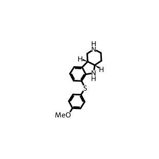 COc1ccc(Sc2cccc3c2N[C@H]2CCNC[C@@H]32)cc1